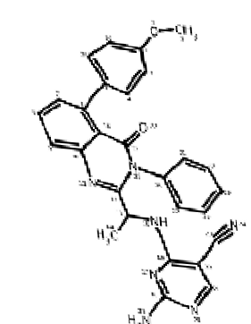 COc1ccc(-c2cccc3nc(C(C)Nc4nc(N)ncc4C#N)n(-c4ccccc4)c(=O)c23)cc1